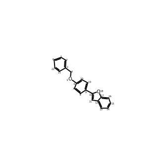 c1ccc(COc2ccc(-c3cc4ccccc4o3)cc2)cc1